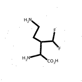 NCCC(C(F)F)C(N)C(=O)O